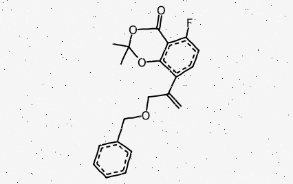 C=C(COCc1ccccc1)c1ccc(F)c2c1OC(C)(C)OC2=O